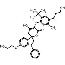 Cc1cc(SC2=C(O)CC(CCc3ccccc3)(c3ccc(OCCO)cc3)OC2=O)c(C(C)(C)C)cc1OCCO